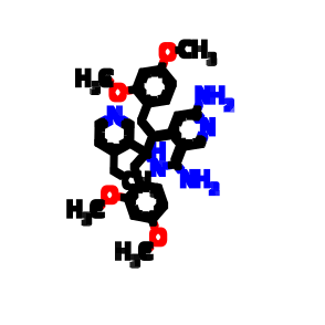 CCc1ccncc1C1(Cc2ccc(OC)cc2OC)NC(N)=c2cnc(N)cc2=C1Cc1ccc(OC)cc1OC